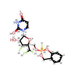 O=c1ccn([C@@H]2O[C@@](COP3(=S)OCc4ccccc4O3)(C(F)F)[C@@H](F)[C@@H]2O)c(=O)[nH]1